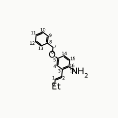 CC/C=C/c1cc(OCc2ccccc2)ccc1N